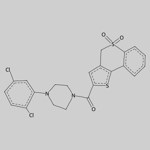 O=C(c1cc2c(s1)-c1ccccc1S(=O)(=O)C2)N1CCN(c2cc(Cl)ccc2Cl)CC1